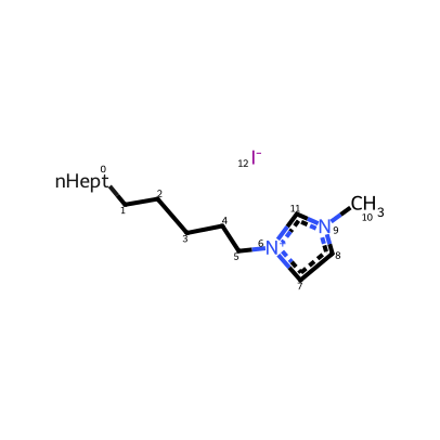 CCCCCCCCCCCC[n+]1ccn(C)c1.[I-]